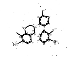 Cc1cccc([C@H]2COc3c(ccc(O)c3C)[C@H]2c2ccc(N)c(F)c2)c1